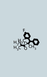 Cc1cc(F)ccc1C(c1ccccc1)[C@H](C)OC(=O)[C@H](C)N